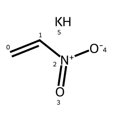 C=C[N+](=O)[O-].[KH]